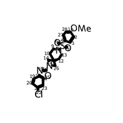 COc1ccc(S(=O)(=O)N2CCC3(CC2)CN(c2nc4ccc(Cl)cc4o2)C3)cc1